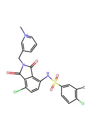 C[n+]1cccc(CN2C(=O)c3c(Cl)ccc(NS(=O)(=O)c4ccc(Cl)c(C(F)(F)F)c4)c3C2=O)c1